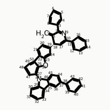 C=C1C(c2ccccc2)=NC(c2ccccc2)=C[C@@H]1c1ccc2c(c1)oc1c(-n3c4ccccc4c4cc(-c5ccccc5)ccc43)cccc12